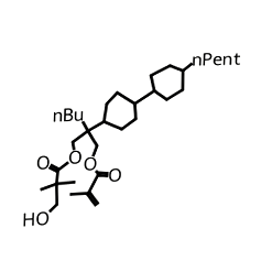 C=C(C)C(=O)OCC(CCCC)(COC(=O)C(C)(C)CO)C1CCC(C2CCC(CCCCC)CC2)CC1